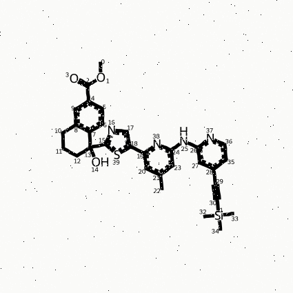 COC(=O)c1ccc2c(c1)CCCC2(O)c1ncc(-c2cc(C)cc(Nc3cc(C#C[Si](C)(C)C)ccn3)n2)s1